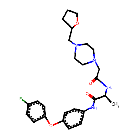 CC(NC(=O)CN1CCN(CC2CCCO2)CC1)C(=O)Nc1ccc(Oc2ccc(F)cc2)cc1